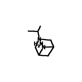 CC(C)N1CC2CC(C1)N2N